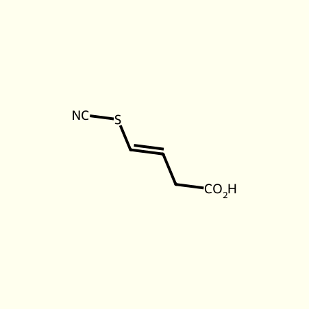 N#CSC=CCC(=O)O